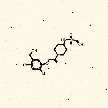 C=CS(=O)(=O)NC1CCN(C(=O)COc2cc(CO)c(Cl)cc2Cl)CC1